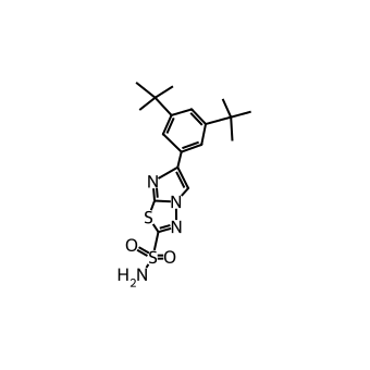 CC(C)(C)c1cc(-c2cn3nc(S(N)(=O)=O)sc3n2)cc(C(C)(C)C)c1